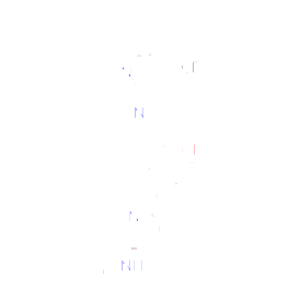 O=C1CCC(N2Cc3c(cc(F)c(C4(O)CCN(Cc5cc(C(F)(F)F)cc(C6CC6)n5)CC4)c3F)C2=O)C(=O)N1